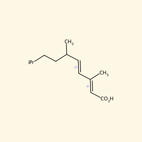 CC(/C=C/C(C)CCC(C)C)=C\C(=O)O